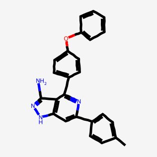 Cc1ccc(-c2cc3[nH]nc(N)c3c(-c3ccc(Oc4ccccc4)cc3)n2)cc1